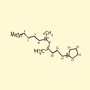 CSCCCCN(C)CC(C)CCCN1CCCC1